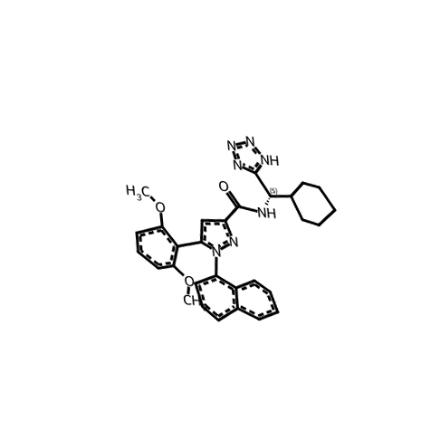 COc1cccc(OC)c1-c1cc(C(=O)N[C@H](c2nnn[nH]2)C2CCCCC2)nn1-c1cccc2ccccc12